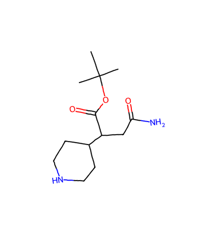 CC(C)(C)OC(=O)C(CC(N)=O)C1CCNCC1